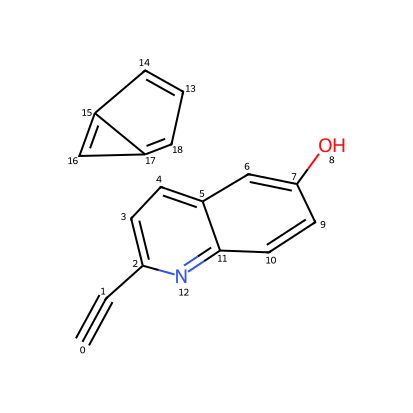 C#Cc1ccc2cc(O)ccc2n1.c1cc2cc-2c1